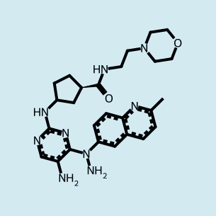 Cc1ccc2cc(N(N)c3nc(NC4CC[C@@H](C(=O)NCCN5CCOCC5)C4)ncc3N)ccc2n1